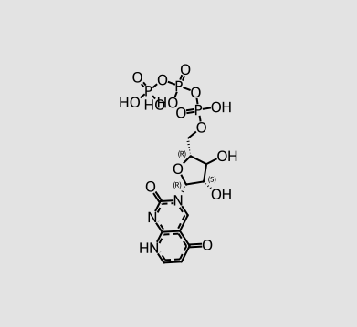 O=c1cc[nH]c2nc(=O)n([C@@H]3O[C@H](COP(=O)(O)OP(=O)(O)OP(=O)(O)O)C(O)[C@@H]3O)cc12